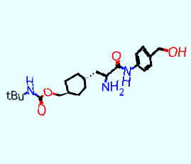 CC(C)(C)NC(=O)OC[C@H]1CC[C@H](CC(N)C(=O)Nc2ccc(CO)cc2)CC1